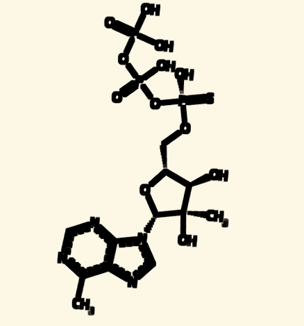 Cc1ncnc2c1ncn2[C@@H]1O[C@H](CO[P@](O)(=S)OP(=O)(O)OP(=O)(O)O)[C@@H](O)[C@@]1(C)O